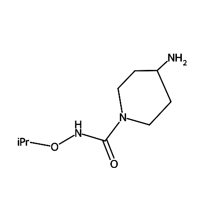 CC(C)ONC(=O)N1CCC(N)CC1